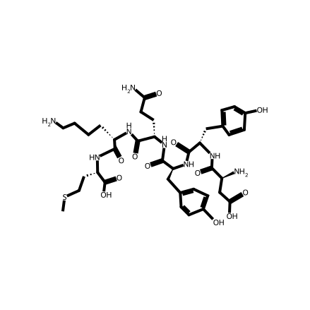 CSCC[C@H](NC(=O)[C@H](CCCCN)NC(=O)[C@H](CCC(N)=O)NC(=O)[C@H](Cc1ccc(O)cc1)NC(=O)[C@H](Cc1ccc(O)cc1)NC(=O)[C@@H](N)CC(=O)O)C(=O)O